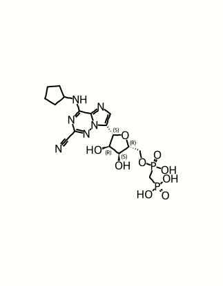 N#Cc1nc(NC2CCCC2)c2ncc([C@@H]3O[C@H](COP(=O)(O)CP(=O)(O)O)[C@@H](O)[C@H]3O)n2n1